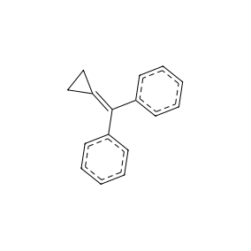 c1ccc(C(=C2CC2)c2ccccc2)cc1